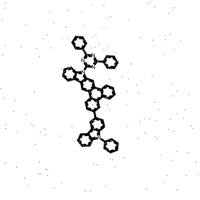 c1ccc(-c2nc(-c3ccccc3)nc(-n3c4ccccc4c4cc5c6ccc(-c7ccc8c(c7)c7ccccc7n8-c7ccccc7)cc6c6ccccc6c5cc43)n2)cc1